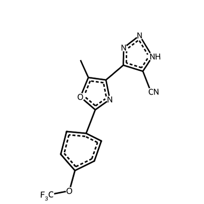 Cc1oc(-c2ccc(OC(F)(F)F)cc2)nc1-c1nn[nH]c1C#N